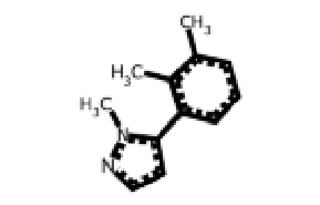 Cc1cccc(-c2ccnn2C)c1C